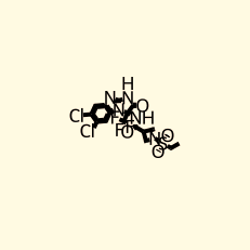 CCS(=O)(=O)N1CC(C(=O)NC2(C(F)(F)F)C(=O)Nc3nc4cc(Cl)c(Cl)cc4n32)C1